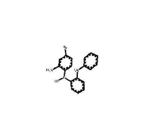 Nc1cc(Br)ccc1N(O)c1ccccc1Nc1ccccc1